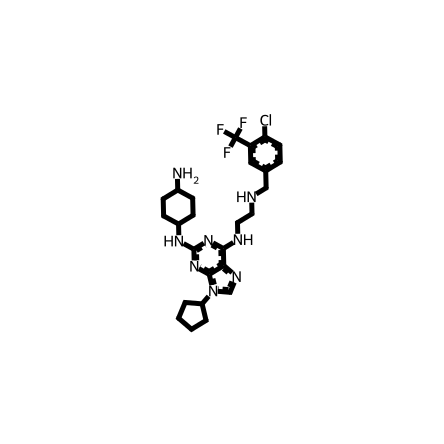 NC1CCC(Nc2nc(NCCNCc3ccc(Cl)c(C(F)(F)F)c3)c3ncn(C4CCCC4)c3n2)CC1